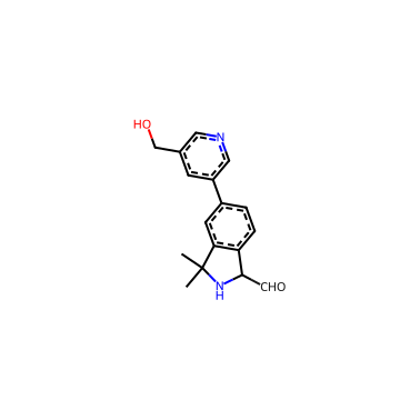 CC1(C)NC(C=O)c2ccc(-c3cncc(CO)c3)cc21